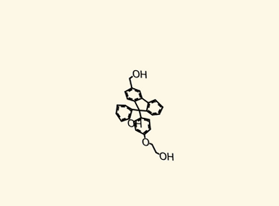 OCCOc1ccc(C2(c3ccccc3O)c3ccccc3-c3cc(CO)ccc32)cc1